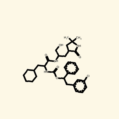 CC1(C)CC(CC(CO)NC(=O)C(CC2CCCCC2)NC(=O)OC(Cc2cccc(Cl)c2)c2ccccc2)C(=O)N1